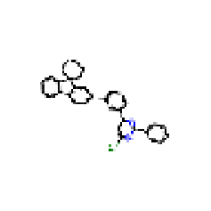 Clc1cc(-c2cccc(-c3ccc4c(c3)C3(CCCCC3)c3ccccc3-4)c2)nc(-c2ccccc2)n1